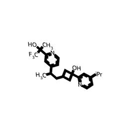 CC(C)c1ccnc(C2(O)CC(CC(C)c3ccnc(C(C)(O)C(F)(F)F)c3)C2)c1